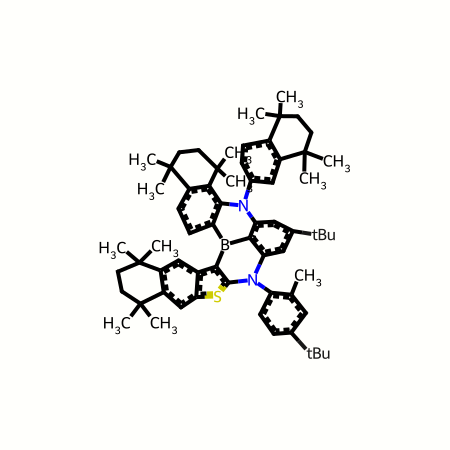 Cc1cc(C(C)(C)C)ccc1N1c2cc(C(C)(C)C)cc3c2B(c2ccc4c(c2N3c2ccc3c(c2)C(C)(C)CCC3(C)C)C(C)(C)CCC4(C)C)c2c1sc1cc3c(cc21)C(C)(C)CCC3(C)C